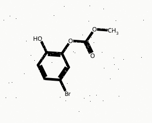 COC(=O)Oc1cc(Br)ccc1O